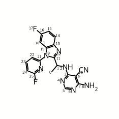 CC(Nc1ncnc(N)c1C#N)c1nc2ccc(F)cc2n1-c1cccc(F)n1